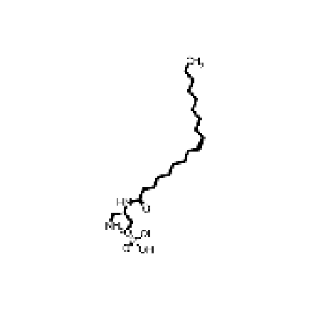 CCCCCCCC/C=C\CCCCCCCC(=O)N[C@H](CN)COP(=O)(O)O